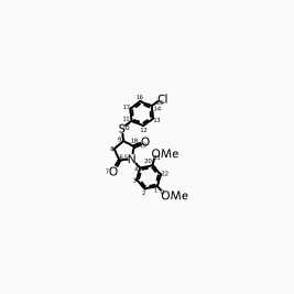 COc1ccc(N2C(=O)CC(Sc3ccc(Cl)cc3)C2=O)c(OC)c1